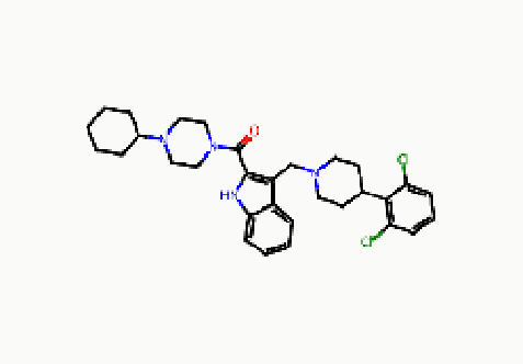 O=C(c1[nH]c2ccccc2c1CN1CCC(c2c(Cl)cccc2Cl)CC1)N1CCN(C2CCCCC2)CC1